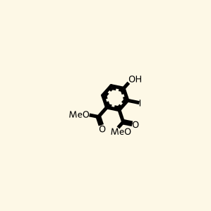 COC(=O)c1ccc(O)c(I)c1C(=O)OC